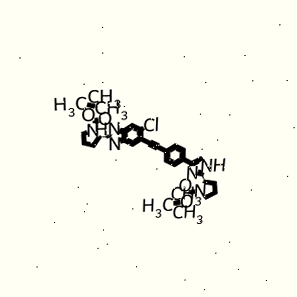 CC(C)(C)OC(=O)N1CCC[C@H]1c1nc(-c2ccc(C#Cc3cc4nc([C@@H]5CCCN5C(=O)OC(C)(C)C)[nH]c4cc3Cl)cc2)c[nH]1